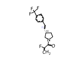 C=C(F)C(=O)N1CC[C@@H](/C=C/c2ccc(C(F)(F)F)cc2)C1